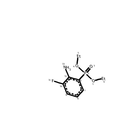 CCOP(=O)(OCC)c1cccc(F)c1N